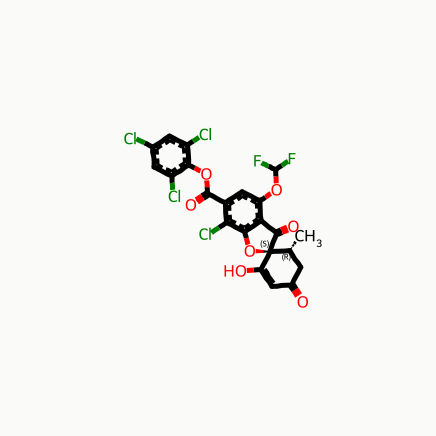 C[C@@H]1CC(=O)C=C(O)[C@@]12Oc1c(Cl)c(C(=O)Oc3c(Cl)cc(Cl)cc3Cl)cc(OC(F)F)c1C2=O